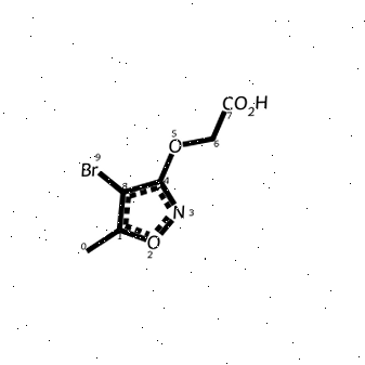 Cc1onc(OCC(=O)O)c1Br